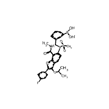 CNC(=O)c1c(N(Cc2cccc(B(O)O)c2)S(C)(=O)=O)ccc2c(OC(C)C)c(-c3ccc(F)cc3)oc12